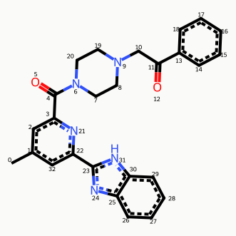 Cc1cc(C(=O)N2CCN(CC(=O)c3ccccc3)CC2)nc(-c2nc3ccccc3[nH]2)c1